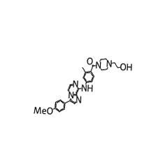 COc1ccc(-c2cnc3c(Nc4ccc(C(=O)N5CCN(CCO)CC5)c(C)c4)nccn23)cc1